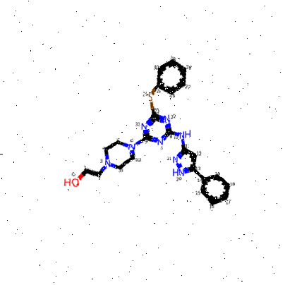 OCCN1CCN(c2nc(Nc3cc(-c4ccccc4)[nH]n3)nc(Sc3ccccc3)n2)CC1